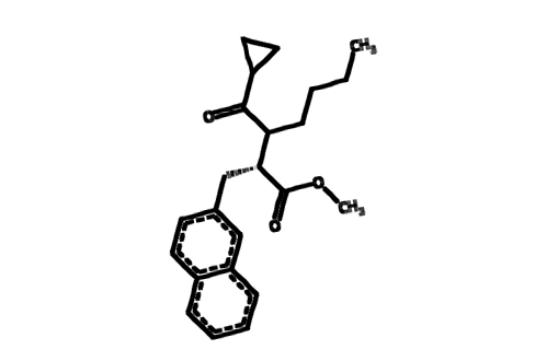 CCCCC(C(=O)C1CC1)[C@@H](Cc1ccc2ccccc2c1)C(=O)OC